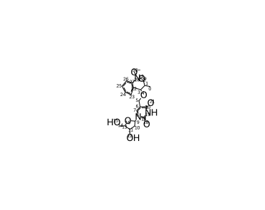 CC(C)C(OCc1cn([C@H]2C[C@@H](O)[C@@H](CO)O2)c(=O)[nH]c1=O)c1ccccc1[N+](=O)[O-]